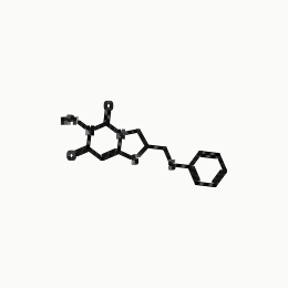 CCCn1c(=O)cc2n(c1=O)CC(CSc1ccccc1)S2